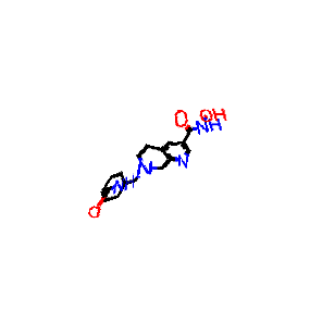 O=C(NO)c1cnc2c(c1)CCN(CC13CCC(CC1)C(=O)N3)C2